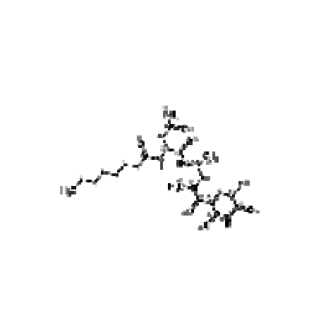 CCCCCCCC(=O)NC(CC(N)=O)C(=O)NC(C)CN(C)C(=O)n1cc(F)c(=O)[nH]c1=O